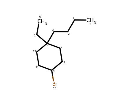 CCCCC1(CC)CCC(Br)CC1